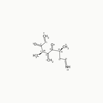 C=CC(=O)[C@H](C)C(=C)C(=O)[C@@H](C)CC=N